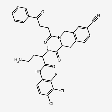 N#Cc1ccc2c(c1)CN(C(=O)CCC(=O)c1ccccc1)C(C(=O)NC(CCN)C(=O)Nc1ccc(Cl)c(Cl)c1F)C2